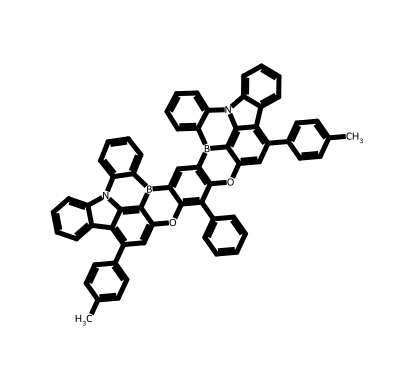 Cc1ccc(-c2cc3c4c5c2c2ccccc2n5-c2ccccc2B4c2cc4c(c(-c5ccccc5)c2O3)Oc2cc(-c3ccc(C)cc3)c3c5ccccc5n5c3c2B4c2ccccc2-5)cc1